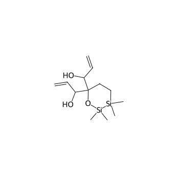 C=CC(O)C1(C(O)C=C)CC[Si](C)(C)[Si](C)(C)O1